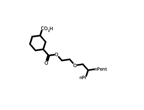 CCCCCC(CCC)COCCOC(=O)C1CCCC(C(=O)O)C1